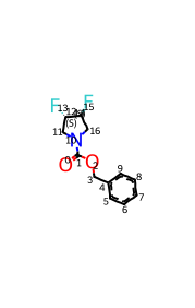 O=C(OCc1ccccc1)N1C[C@H](F)[C@@H](F)C1